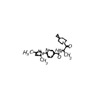 Cc1cc(C)n(-c2ccc(C(=O)NC(C)C(=O)N3CCC4(CC3)CC4)cn2)n1